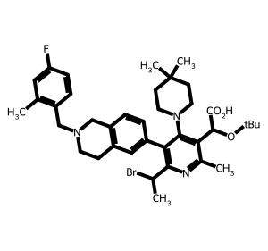 Cc1cc(F)ccc1CN1CCc2cc(-c3c(C(C)Br)nc(C)c(C(OC(C)(C)C)C(=O)O)c3N3CCC(C)(C)CC3)ccc2C1